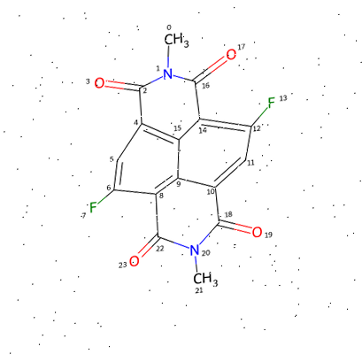 CN1C(=O)c2cc(F)c3c4c(cc(F)c(c24)C1=O)C(=O)N(C)C3=O